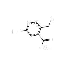 COC(=O)c1cc(C(F)(F)F)ncc1CBr